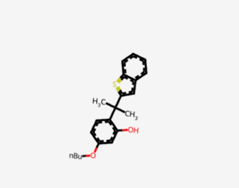 CCCCOc1ccc(C(C)(C)c2cc3ccccc3s2)c(O)c1